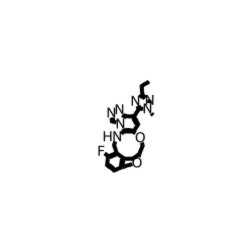 CCc1nc(-c2cc3c(n4cnnc24)NCc2c(F)ccc4c2CC(CO3)O4)n(C)n1